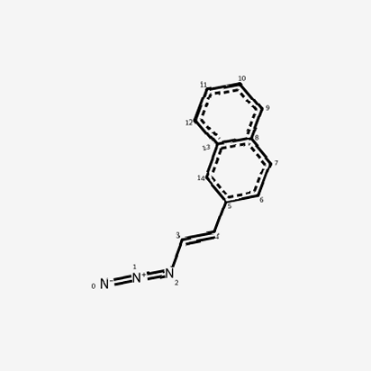 [N-]=[N+]=NC=Cc1ccc2ccccc2c1